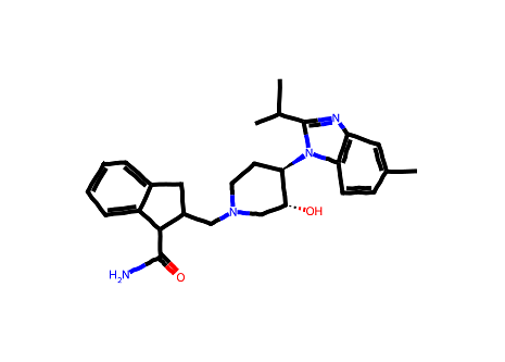 Cc1ccc2c(c1)nc(C(C)C)n2[C@@H]1CCN(CC2Cc3c[c]ccc3C2C(N)=O)C[C@H]1O